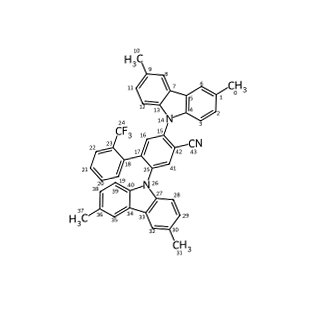 Cc1ccc2c(c1)c1cc(C)ccc1n2-c1cc(-c2ccccc2C(F)(F)F)c(-n2c3ccc(C)cc3c3cc(C)ccc32)cc1C#N